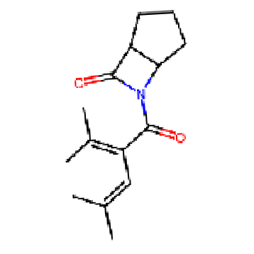 CC(C)=CC(C(=O)N1C(=O)C2CCCC21)=C(C)C